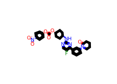 O=C(Oc1ccc([N+](=O)[O-])cc1)O[C@H]1CC[C@H](Nc2ncc(F)c(-c3cccc(N4CCCCC4=O)c3)n2)CC1